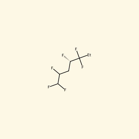 [CH2]CC(F)(F)[C@@H](F)CC(F)C(F)F